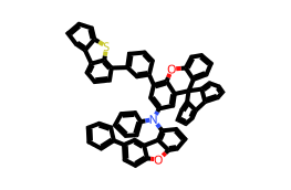 c1ccc(-c2ccc3oc4cccc(N(c5ccccc5)c5cc(-c6cccc(-c7cccc8c7sc7ccccc78)c6)c6c(c5)C5(c7ccccc7O6)c6ccccc6-c6ccccc65)c4c3c2)cc1